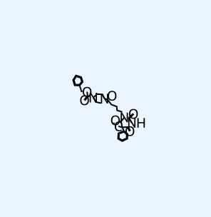 CCC1(c2ccccc2)C(=O)NC(=O)N(CCCCC(=O)N2CCN(C(=O)OCc3ccccc3)CC2)C1=O